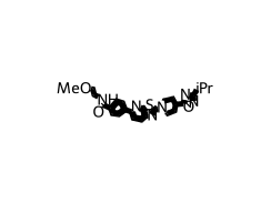 COCCNC(=O)c1ccc(-c2ccc3nc(N4CCC(c5nc(C(C)C)no5)CC4)sc3n2)cc1